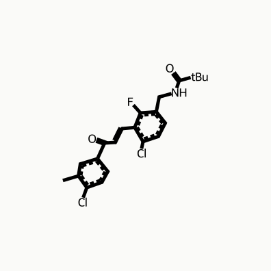 Cc1cc(C(=O)C=Cc2c(Cl)ccc(CNC(=O)C(C)(C)C)c2F)ccc1Cl